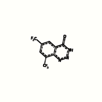 O=c1[nH]nnc2c(C(F)(F)F)cc(C(F)(F)F)cc12